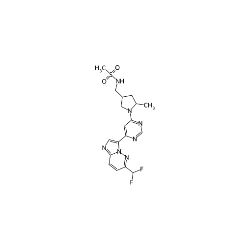 CC1CC(CNS(C)(=O)=O)CN1c1cc(-c2cnc3ccc(C(F)F)nn23)ncn1